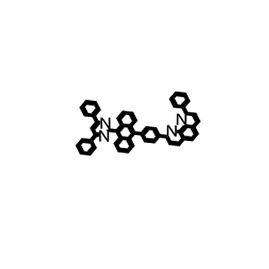 c1ccc(-c2cc(-c3ccccc3)nc(-c3c4ccccc4c(-c4ccc(-c5ccc6ccc7ccc(-c8ccccc8)nc7c6n5)cc4)c4ccccc34)n2)cc1